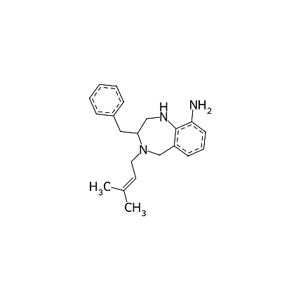 CC(C)=CCN1Cc2cccc(N)c2NCC1Cc1ccccc1